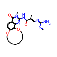 C=N/C(N)=N\C=C(/C)C(=O)Nc1nc2c3c(ccc2c(=O)n1C)OCCCCCCCCO3